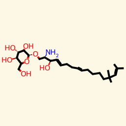 CC(C)=CC(C)(C)CCCC/C=C/CC/C=C/[C@@H](O)[C@@H](N)CO[C@@H]1OC(CO)[C@@H](O)[C@H](O)C1O